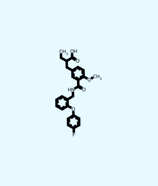 CCC(Cc1ccc(OC)c(C(=O)NCc2ccccc2Oc2ccc(F)cc2)c1)C(=O)O